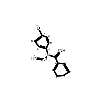 N=NN(C(=N)C1=CCCC=C1)c1ccc(O)cc1